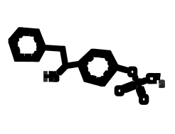 O=S(=O)(Oc1ccc(C(S)Cc2ccccc2)cc1)C(F)(F)F